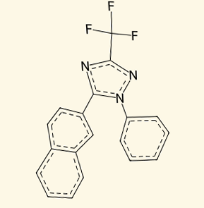 FC(F)(F)c1nc(-c2ccc3ccccc3c2)n(-c2ccccc2)n1